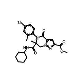 COC(=O)c1cc2n(n1)CC(C)(C(=O)NC1CCCCC1)N(c1ccc(Cl)cc1C)C2=O